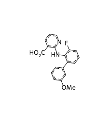 COc1cccc(-c2cccc(F)c2Nc2ncccc2C(=O)O)c1